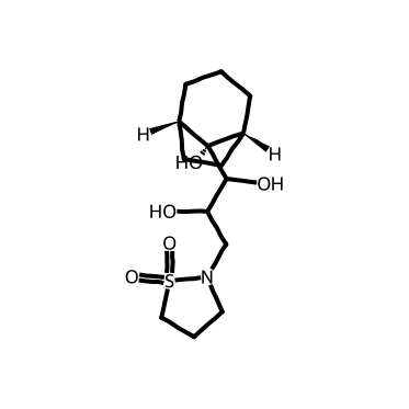 O=S1(=O)CCCN1CC(O)C(O)[C@]1(O)[C@@H]2CCC[C@H]1CC2